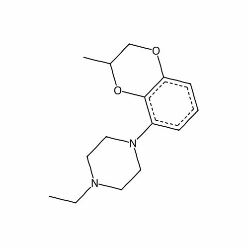 CCN1CCN(c2cccc3c2OC(C)CO3)CC1